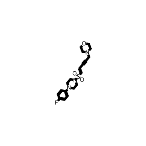 O=S(=O)(C=CC#CCN1CCOCC1)N1CCN(c2ccc(F)cc2)CC1